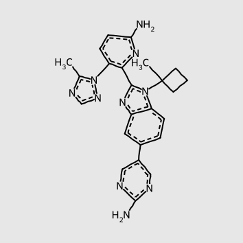 Cc1ncnn1-c1ccc(N)nc1-c1nc2cc(-c3cnc(N)nc3)ccc2n1C1(C)CCC1